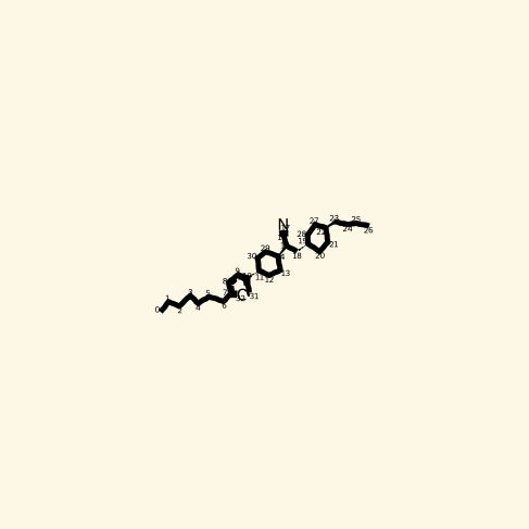 CCCCCCCc1ccc([C@H]2CC[C@H](C(C#N)C[C@H]3CC[C@H](CCCC)CC3)CC2)cc1